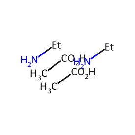 CC(=O)O.CC(=O)O.CCN.CCN